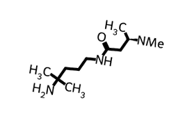 CN[C@H](C)CC(=O)NCCCC(C)(C)N